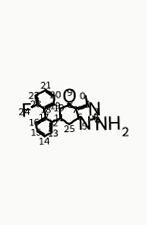 Cc1nc(N)nc2c1C(=O)CC(c1ccccc1-c1ccccc1F)C2